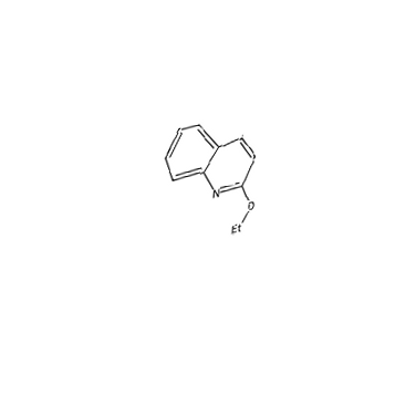 CCOc1c[c]c2ccccc2n1